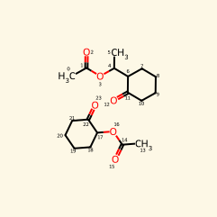 CC(=O)OC(C)C1CCCCC1=O.CC(=O)OC1CCCCC1=O